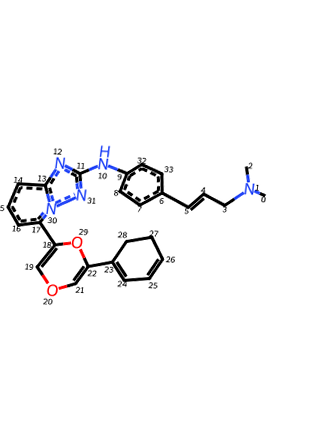 CN(C)CC=Cc1ccc(Nc2nc3cccc(C4=COC=C(C5=CC=CCC5)O4)n3n2)cc1